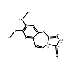 COc1cc2c(cc1OC)Cc1n[nH]c(=O)n1C=C2